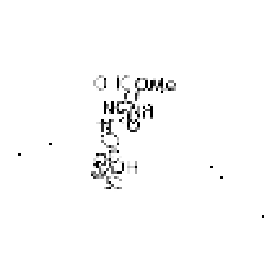 COc1cc(NC(=O)OCCN(C)C2CCC(OC(=O)C(O)(c3cccs3)c3cccs3)CC2)c(C#N)cc1C=O